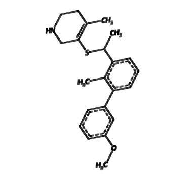 COc1cccc(-c2cccc(C(C)SC3=C(C)CCNC3)c2C)c1